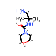 CC(C)(CN)NC(=O)N1CCOCC1